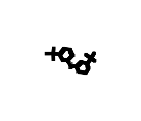 CC(C)(C)c1cc[c]c(Sc2[c]ccc(C(C)(C)C)c2)c1